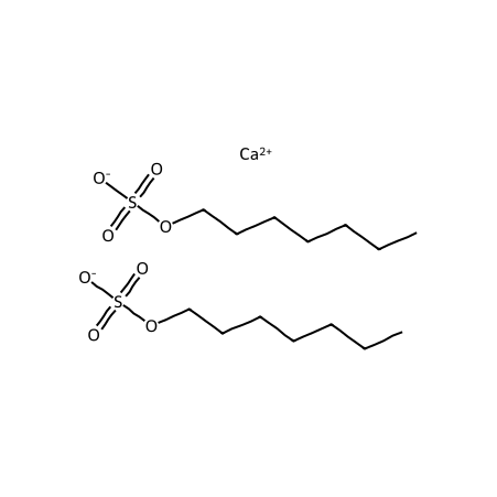 CCCCCCCOS(=O)(=O)[O-].CCCCCCCOS(=O)(=O)[O-].[Ca+2]